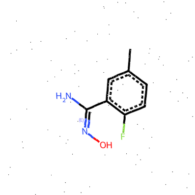 Cc1ccc(F)c(/C(N)=N\O)c1